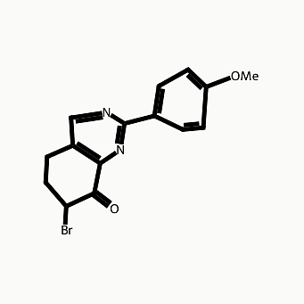 COc1ccc(-c2ncc3c(n2)C(=O)C(Br)CC3)cc1